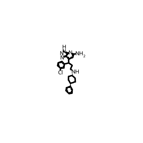 Nc1cc(C(CCN[C@H]2CC[C@H](c3ccccc3)CC2)c2cccc(Cl)c2)c2nn[nH]c2n1